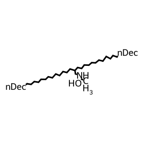 CCCCCCCCCCCCCCCCCCCCCCCC(CCCCCCCCCCCCCCCCCCCCCC)CNC(C)O